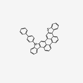 c1ccc(-c2ccc(-n3c4ccccc4c4c5cccc6c7cccc8c9c(cc(c(cc43)c65)c78)sc3ccccc39)cc2)cc1